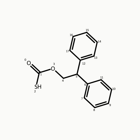 O=C(S)OCC(c1ccccc1)c1ccccc1